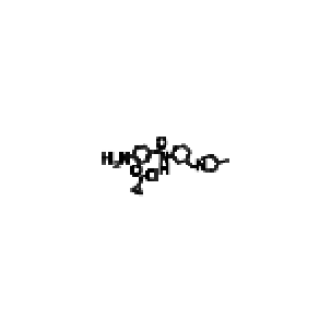 CC1CCN(CC2CCCC(NC(=O)c3ccc(N)c(OC(Cl)C4CC4)c3)C2)CC1